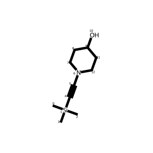 C[Si](C)(C)C#CN1CCC(O)CC1